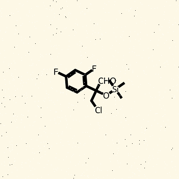 C[Si](C)(C)OC(C=O)(CCl)c1ccc(F)cc1F